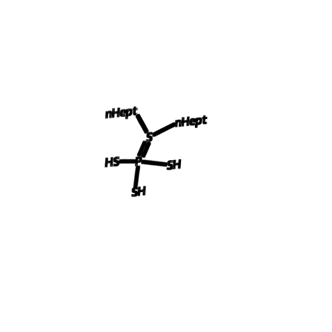 CCCCCCCS(CCCCCCC)=P(S)(S)S